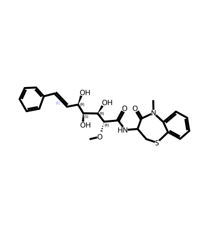 CO[C@@H](C(=O)NC1CSc2ccccc2N(C)C1=O)[C@H](O)[C@@H](O)[C@H](O)/C=C/c1ccccc1